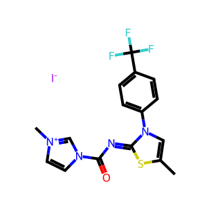 Cc1cn(-c2ccc(C(F)(F)F)cc2)c(=NC(=O)n2cc[n+](C)c2)s1.[I-]